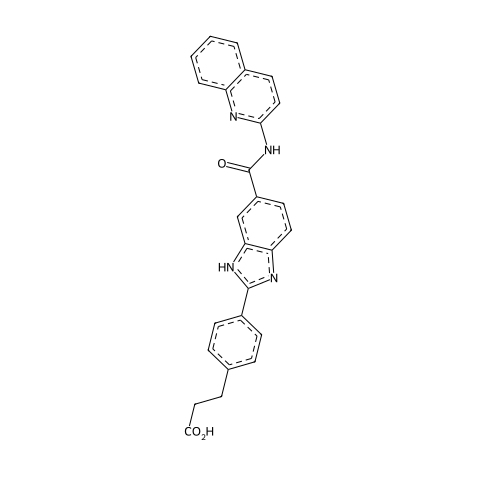 O=C(O)CCc1ccc(-c2nc3ccc(C(=O)Nc4ccc5ccccc5n4)cc3[nH]2)cc1